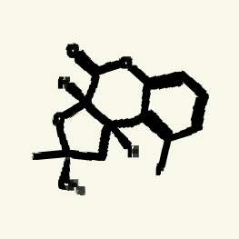 C[C@]1(C(F)(F)F)C[C@H]2c3c(F)cccc3OC(=O)[C@H]2O1